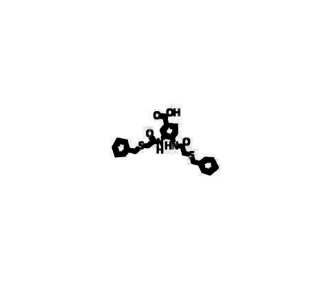 O=C(CSCc1ccccc1)Nc1ccc(C(=O)O)cc1NC(=O)CSCc1ccccc1